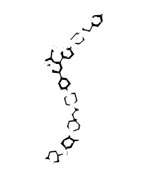 N#Cc1cnn2cc(-c3ccc(N4CCN(C(=O)CC5(O)CCN(c6ccc(NC7CCC(=O)NC7=O)cc6F)CC5)CC4)cc3)cc(-c3ccc(N4CCN(C(=O)Cc5ccc(F)cn5)CC4)nc3)c12